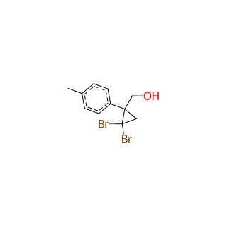 Cc1ccc(C2(CO)CC2(Br)Br)cc1